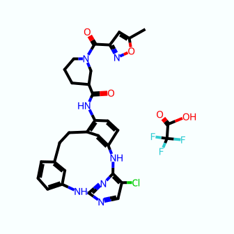 Cc1cc(C(=O)N2CCCC(C(=O)Nc3ccc4cc3CCc3cccc(c3)Nc3ncc(Cl)c(n3)N4)C2)no1.O=C(O)C(F)(F)F